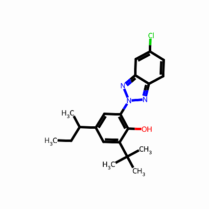 CCC(C)c1cc(-n2nc3ccc(Cl)cc3n2)c(O)c(C(C)(C)C)c1